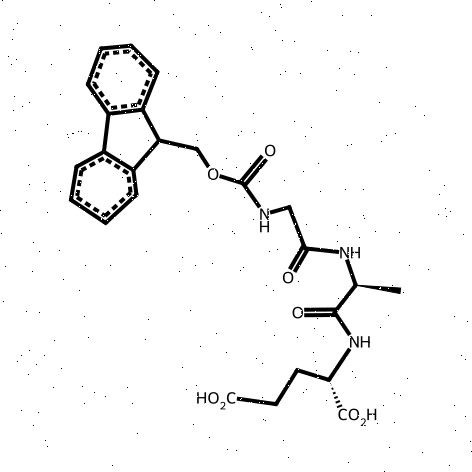 C[C@H](NC(=O)CNC(=O)OCC1c2ccccc2-c2ccccc21)C(=O)N[C@@H](CCC(=O)O)C(=O)O